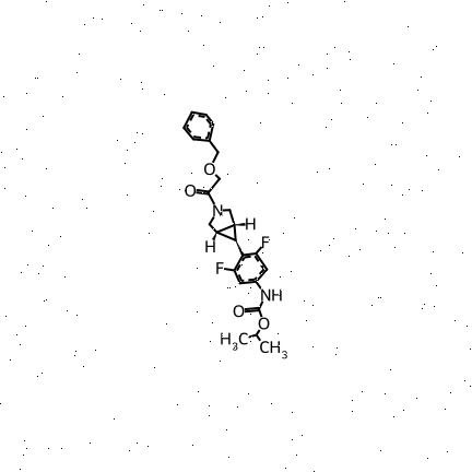 CC(C)OC(=O)Nc1cc(F)c([C@H]2[C@@H]3CN(C(=O)COCc4ccccc4)C[C@@H]32)c(F)c1